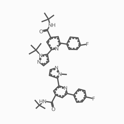 CC(C)(C)NC(=O)c1cc(-c2ccc(F)cc2)nc(-c2ccnn2C(C)(C)C)c1.Cn1nccc1-c1cc(C(=O)NC(C)(C)C)cc(-c2ccc(F)cc2)n1